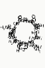 CC[C@@H]1NC(=O)[C@H](Cc2ccccc2)N(C)C(=O)CSC[C@@H](C(=O)NCC(N)=O)NC(=O)[C@H](Cc2cncn2C)NC(=O)[C@H](CN)NC(=O)[C@H](Cc2c[nH]cn2)NC(=O)[C@H](Cc2ccc(O)cc2)N(C)C(=O)[C@H](CCCNC(=N)N)NC(=O)[C@H](CO)NC(=O)CNC(=O)[C@H](Cc2c[nH]cn2)NC(=O)[C@H](Cc2cccc3ccccc23)NC1=O